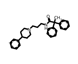 CC(C(=O)NCCCN1CCC(c2c[c]ccc2)CC1)(c1ccccc1)c1ccccc1